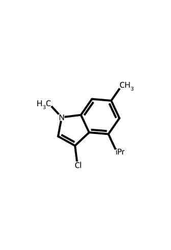 Cc1cc(C(C)C)c2c(Cl)cn(C)c2c1